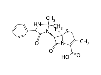 CC1=C(C(=O)O)N2C(=O)[C@@H](N3C(=O)C(c4ccccc4)NC3(C)C)[C@H]2SC1